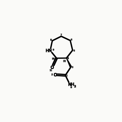 NC(=O)C[C@@H]1CCCCNC1=O